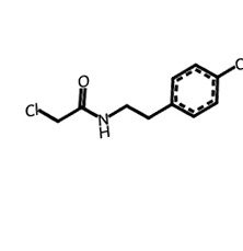 O=C(CCl)NCCc1ccc(Cl)cc1